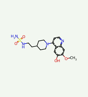 COc1cc2nccc(N3CCC(CCNS(N)(=O)=O)CC3)c2cc1O